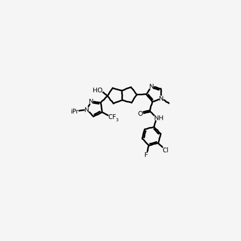 CC(C)n1cc(C(F)(F)F)c(C2(O)CC3CC(c4ncn(C)c4C(=O)Nc4ccc(F)c(Cl)c4)CC3C2)n1